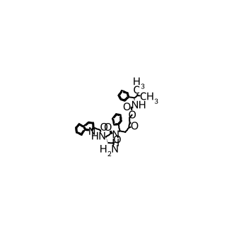 CC(C)[C@H](NC(=O)OCC1OC1CC(NC(=O)[C@H](CC(N)=O)NC(=O)c1ccc2ccccc2n1)c1ccccc1)c1ccccc1